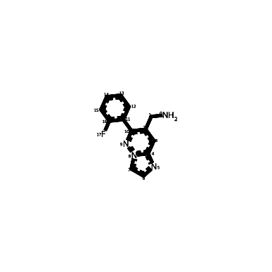 NCc1cc2nccn2nc1-c1ccccc1F